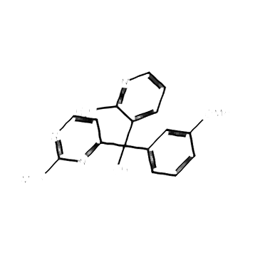 COc1cccc(C(O)(c2ccnc(SC)n2)c2cccnc2C)c1